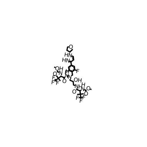 COC(=O)NC(C(=O)NC[C@@H](O)CN(Cc1c(F)cc(C(=N)/C=C\N[C@@H]2CCOC2)cc1F)NC(=O)[C@@H](NC(=O)OC)C(C)(C)C(F)(F)F)C(C)(C)C(F)(F)F